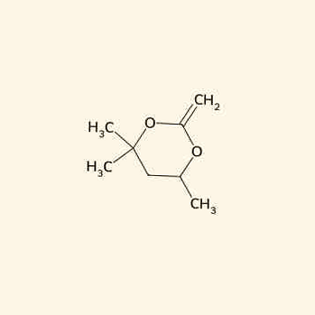 C=C1OC(C)CC(C)(C)O1